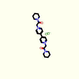 O=C(C[n+]1ccc(-c2cc[n+](CC(=O)N3CCCCC3)cc2)cc1)N1CCCCC1.[Cl-].[Cl-]